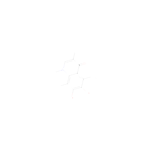 CCn1cc(C(=O)O)c(=O)c2c(C)c(O)c(O)c(C)c21